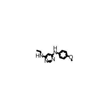 CCNc1cc(Nc2ccc(OC)cc2)ncn1